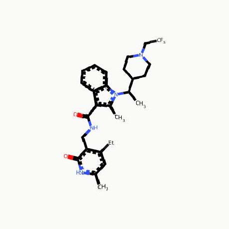 CCc1cc(C)[nH]c(=O)c1CNC(=O)c1c(C)n(C(C)C2CCN(CC(F)(F)F)CC2)c2ccccc12